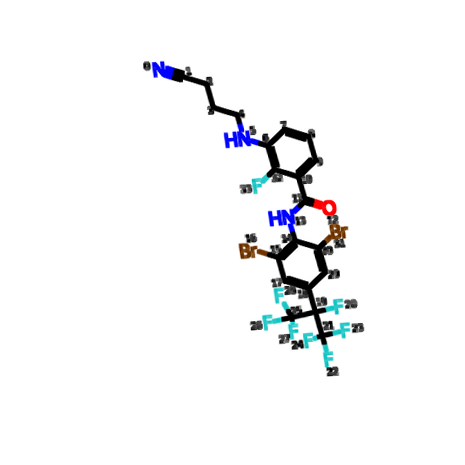 N#CCCCNc1cccc(C(=O)Nc2c(Br)cc(C(F)(C(F)(F)F)C(F)(F)F)cc2Br)c1F